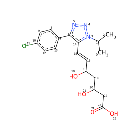 CC(C)n1nnc(-c2ccc(Cl)cc2)c1/C=C/C(O)CC(O)CC(=O)O